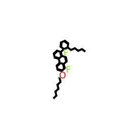 CCCCCCCOc1ccc2c(ccc3c(C4(F)C=CC=CC4CCCCC)cccc32)c1F